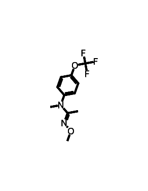 CO/N=C(\C)N(C)c1ccc(OC(F)(F)F)cc1